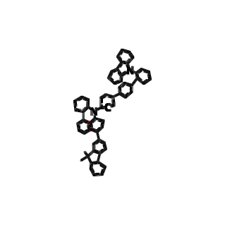 CC1(C)c2ccccc2-c2ccc(-c3ccc(N(c4ccc(-c5ccc(-c6ccccc6-n6c7ccccc7c7ccccc76)cc5)cc4)c4ccccc4-c4ccccc4)cc3)cc21